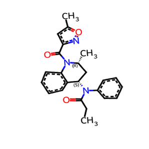 CCC(=O)N(c1ccccc1)[C@H]1C[C@@H](C)N(C(=O)c2cc(C)on2)c2ccccc21